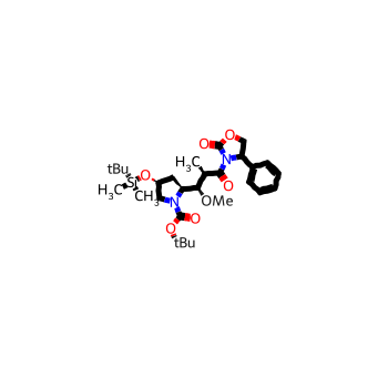 CO[C@H]([C@@H](C)C(=O)N1C(=O)OCC1c1ccccc1)[C@@H]1C[C@@H](O[Si](C)(C)C(C)(C)C)CN1C(=O)OC(C)(C)C